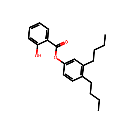 CCCCc1ccc(OC(=O)c2ccccc2O)cc1CCCC